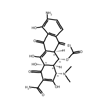 C=C1c2ccc(N)c(O)c2C(=O)C2=C(O)[C@]3(O)C(=O)C(C(N)=O)=C(O)[C@@H](N(C)C)[C@@H]3[C@@H](OC(=O)CC)[C@H]12